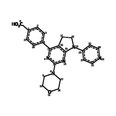 O=C(O)c1ccc(-c2nc(N3CCOCC3)nc3c2CCN3c2ccncc2)cc1